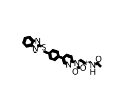 CC(=O)NC[C@H]1CN(c2ccc(-c3ccc(CSc4nc5ccccc5n4C)cc3)cn2)C(=O)O1